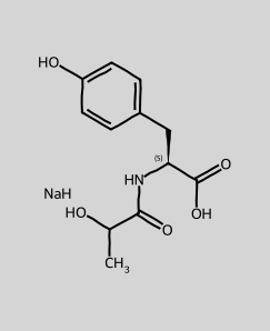 CC(O)C(=O)N[C@@H](Cc1ccc(O)cc1)C(=O)O.[NaH]